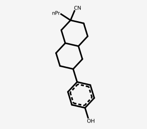 CCCC1(C#N)CCC2CC(c3ccc(O)cc3)CCC2C1